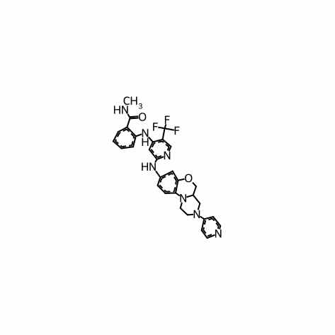 CNC(=O)c1ccccc1Nc1cc(Nc2ccc3c(c2)OCC2CN(c4ccncc4)CCN32)ncc1C(F)(F)F